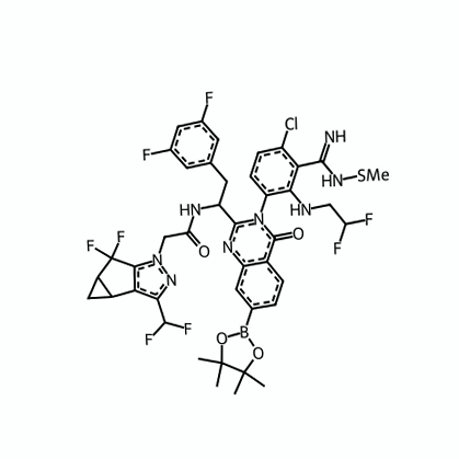 CSNC(=N)c1c(Cl)ccc(-n2c(C(Cc3cc(F)cc(F)c3)NC(=O)Cn3nc(C(F)F)c4c3C(F)(F)C3CC43)nc3cc(B4OC(C)(C)C(C)(C)O4)ccc3c2=O)c1NCC(F)F